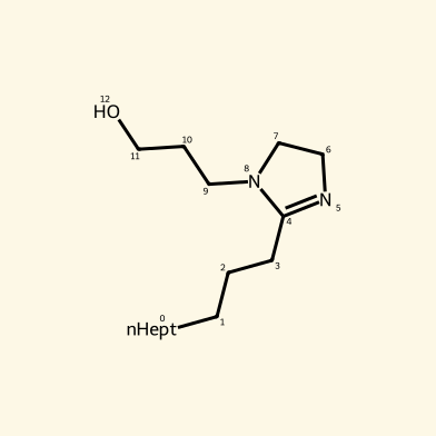 CCCCCCCCCCC1=NCCN1CCCO